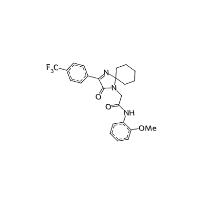 COc1ccccc1NC(=O)CN1C(=O)C(c2ccc(C(F)(F)F)cc2)=NC12CCCCC2